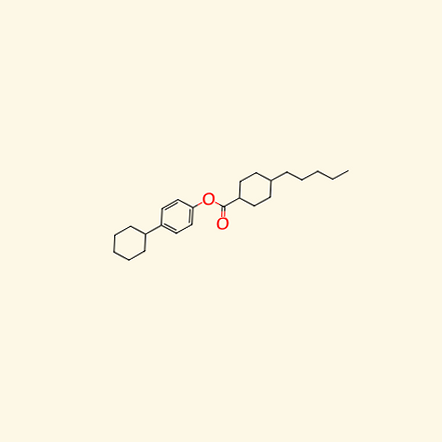 CCCCCC1CCC(C(=O)Oc2ccc(C3CCCCC3)cc2)CC1